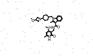 COC1CN(C2CCC(CB3C(C)=C(C(=O)NCc4c(SC)cc(C)[nH]c4=O)c4ccccc43)CC2)C1